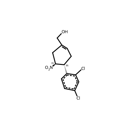 O=[N+]([O-])[C@H]1CC(CO)=CC[C@@H]1c1ccc(Cl)cc1Cl